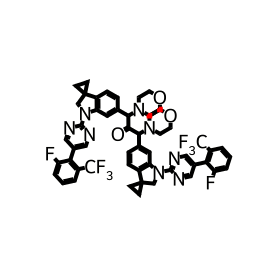 O=C(C(c1ccc2c(c1)N(c1ncc(-c3c(F)cccc3C(F)(F)F)cn1)CC21CC1)N1CCOCC1)C(c1ccc2c(c1)N(c1ncc(-c3c(F)cccc3C(F)(F)F)cn1)CC21CC1)N1CCOCC1